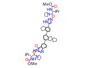 COC(=O)N[C@H](C(=O)N1CCC[C@H]1c1ncc(-c2ccc(-c3ccc(-c4ccc5nc([C@@H]6CCCN6C(=O)[C@@H](NC(=O)OC)C(C)C)[nH]c(=O)c5c4)c4c3CC3(CCCC3)C4)c3c2CCC3)[nH]1)C(C)C